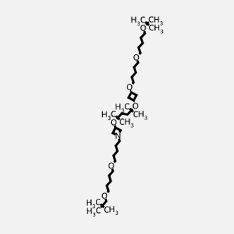 CC(C)(C)COCCCCCOCCCCCN1CC(OC(C)(C)CCC(C)(C)O[C@H]2C[C@H](OCCCCCOCCCCCOC(C)(C)C)C2)C1